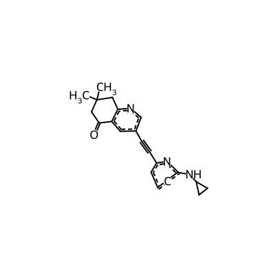 CC1(C)CC(=O)c2cc(C#Cc3cccc(NC4CC4)n3)cnc2C1